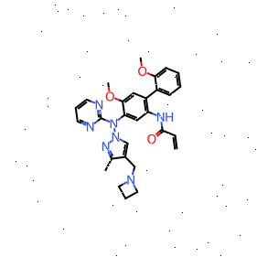 C=CC(=O)Nc1cc(N(c2ncccn2)n2cc(CN3CCC3)c(C)n2)c(OC)cc1-c1ccccc1OC